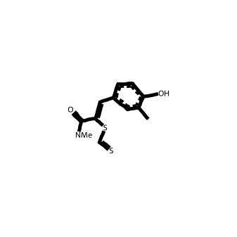 CNC(=O)/C(=C/c1ccc(O)c(C)c1)SC=S